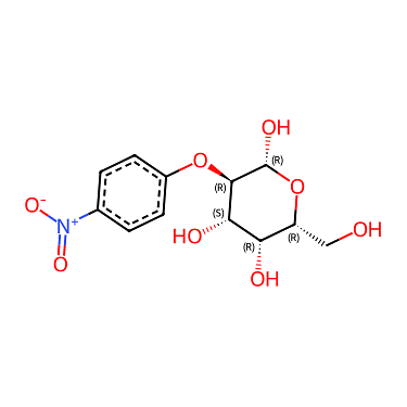 O=[N+]([O-])c1ccc(O[C@@H]2[C@@H](O)[C@@H](O)[C@@H](CO)O[C@H]2O)cc1